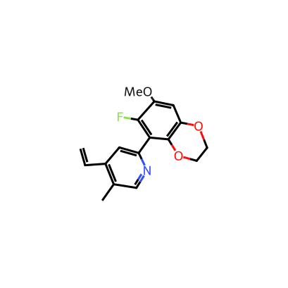 C=Cc1cc(-c2c(F)c(OC)cc3c2OCCO3)ncc1C